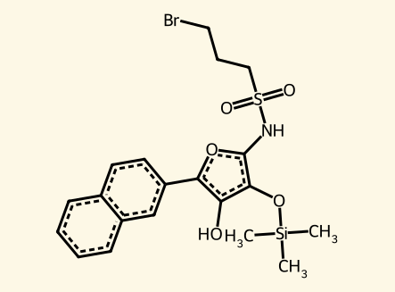 C[Si](C)(C)Oc1c(NS(=O)(=O)CCCBr)oc(-c2ccc3ccccc3c2)c1O